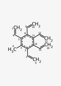 C=Cc1c(C)c(C=C)c(C=C)c(C=C)c1C=C